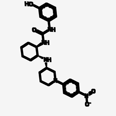 O=C(Nc1cccc(O)c1)N[C@@H]1CCCC[C@H]1N[C@H]1CCCN(c2ccc([N+](=O)[O-])cc2)C1